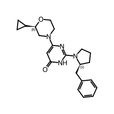 O=c1cc(N2CCO[C@H](C3CC3)C2)nc(N2CCC[C@H]2Cc2ccccc2)[nH]1